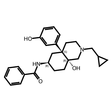 O=C(N[C@@H]1CC[C@]2(O)CN(CC3CC3)CC[C@@]2(c2cccc(O)c2)C1)c1ccccc1